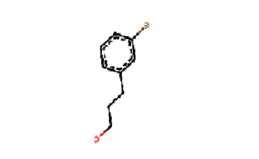 [O]CCCc1cccc(Br)c1